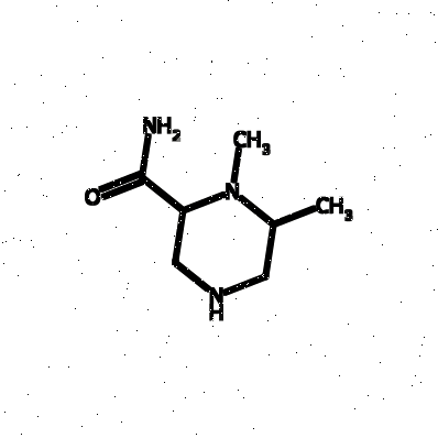 CC1CNCC(C(N)=O)N1C